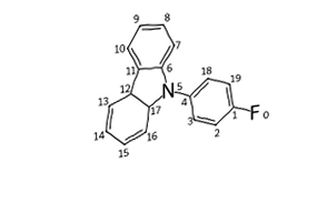 Fc1ccc(N2c3ccccc3C3C=CC=CC32)cc1